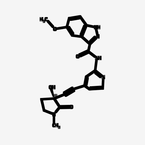 COc1ccc2[nH]nc(C(=O)Nc3cc(C#C[C@]4(O)CCN(C)C4=O)ccn3)c2c1